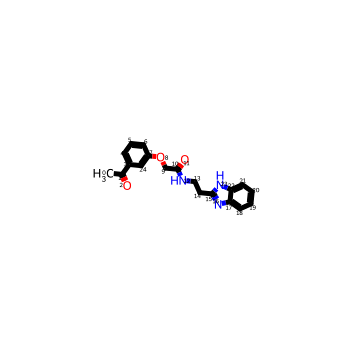 CC(=O)c1cccc(OCC(=O)NCCc2nc3ccccc3[nH]2)c1